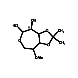 COC1COC(O)[C@@H](O)C2OC(C)(C)OC12